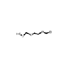 OOCOCCOCCl